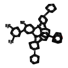 N#Cc1cc(-n2c3ccc(-c4ccccc4)cc3c3cc(-c4ccccc4)ccc32)c(-n2c3ccc(-c4ccccc4)cc3c3cc(-c4ccccc4)ccc32)cc1-c1cc(C(F)(F)F)cc(C(F)(F)F)c1